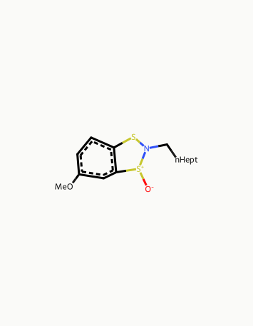 CCCCCCCCN1Sc2ccc(OC)cc2[S+]1[O-]